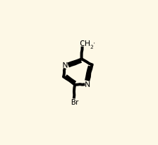 [CH2]c1cnc(Br)cn1